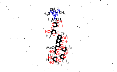 CN(C)c1nc(N(C)C)nc(N(C)C)n1.CO[C@H](C(=O)[C@@H](O)[C@@H](C)O)[C@@H]1Cc2cc3cc(O[C@H]4C[C@@H](O[C@H]5C[C@@H](O)[C@H](O)[C@@H](C)O5)[C@H](O)[C@@H](C)O4)c(C)c(O)c3c(O)c2C(=O)[C@H]1O[C@H]1C[C@@H](O[C@H]2C[C@@H](O[C@H]3C[C@](C)(O)[C@H](O)[C@@H](C)O3)[C@@H](O)[C@@H](C)O2)[C@H](O)[C@@H](C)O1